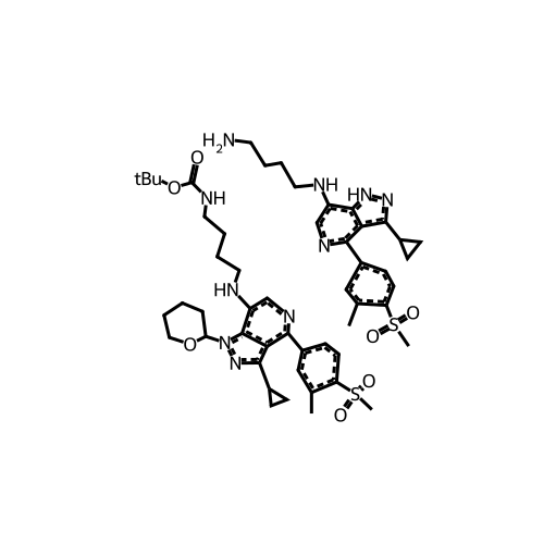 Cc1cc(-c2ncc(NCCCCN)c3[nH]nc(C4CC4)c23)ccc1S(C)(=O)=O.Cc1cc(-c2ncc(NCCCCNC(=O)OC(C)(C)C)c3c2c(C2CC2)nn3C2CCCCO2)ccc1S(C)(=O)=O